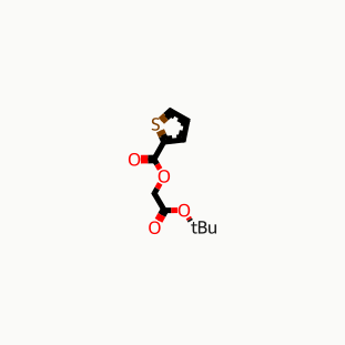 CC(C)(C)OC(=O)COC(=O)c1cccs1